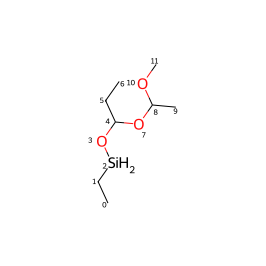 CC[SiH2]OC(CC)OC(C)OC